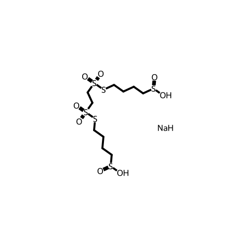 O=S(O)CCCCSS(=O)(=O)CCS(=O)(=O)SCCCCS(=O)O.[NaH]